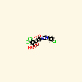 O=C(O)c1cc(Cl)c(Cl)cc1C(=O)C1C[C@@H](O)[C@H](N2CCN(Cc3ccc(Cl)cc3)CC2)C1